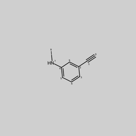 C#Cc1cccc(NI)c1